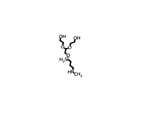 CNCCC[SiH2]OCC(OCCO)OCCO